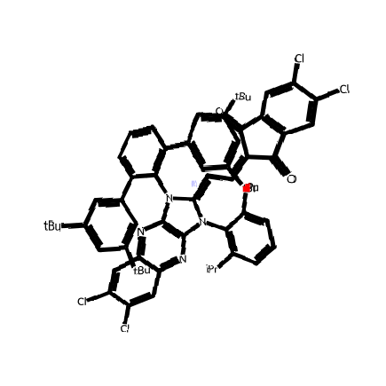 CC(C)c1cccc(C(C)C)c1N1/C(=C\C=C2C(=O)c3cc(Cl)c(Cl)cc3C2=O)N(c2c(-c3cc(C(C)(C)C)cc(C(C)(C)C)c3)cccc2-c2cc(C(C)(C)C)cc(C(C)(C)C)c2)c2nc3cc(Cl)c(Cl)cc3nc21